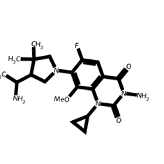 COc1c(N2CC(C(C)N)C(C)(C)C2)c(F)cc2c(=O)n(N)c(=O)n(C3CC3)c12